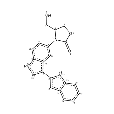 O=C1OCC(CO)N1c1ccc2[nH]nc(-c3cc4ccccc4[nH]3)c2c1